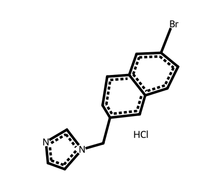 Brc1ccc2cc(Cn3ccnc3)ccc2c1.Cl